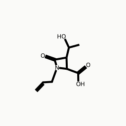 C=CCN1C(=O)C(C(C)O)C1C(=O)O